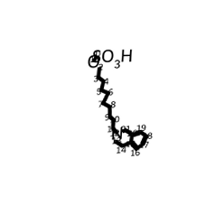 O=S(=O)(O)OCCCCCCCCCCN1CCc2ccccc2C1